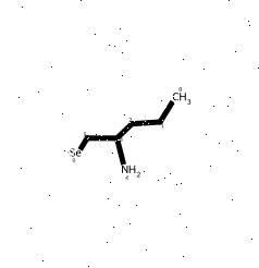 CCCC(N)C[Se]